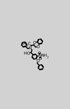 CC(C1COc2ccccc2O1)N(Cc1ccccc1)CC(O)c1ccc(OCc2ccccc2)c(S(N)(=O)=O)c1